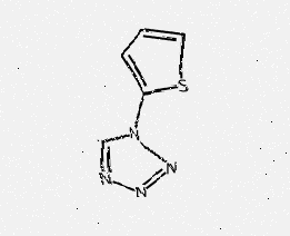 [c]1nnnn1-c1cccs1